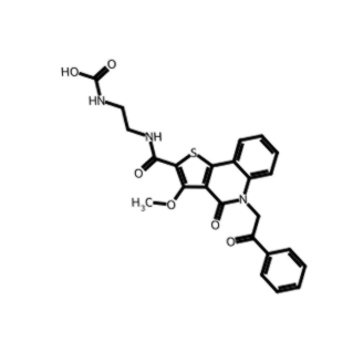 COc1c(C(=O)NCCNC(=O)O)sc2c1c(=O)n(CC(=O)c1ccccc1)c1ccccc21